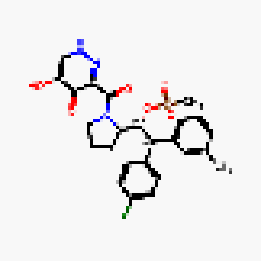 CS(=O)(=O)O[C@@H](C1CCCN1C(=O)c1n[nH]cc(O)c1=O)[C@H](c1ccc(F)cc1)c1cccc(C(F)(F)F)c1